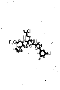 CC(O)CC[C@H](NC(=O)c1cnc(-c2cc(F)cc(Cl)c2)o1)C(=O)N[C@@H](CCC(F)(F)F)C(=O)c1nccs1